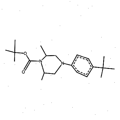 CC1CN(c2ccc(C(C)(C)C)cc2)CC(C)N1C(=O)OC(C)(C)C